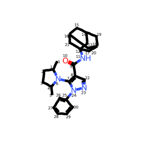 CC1CCC(C)N1c1c(C(=O)NC23CC4CC(CC(C4)C2)C3)cnn1-c1ccccc1